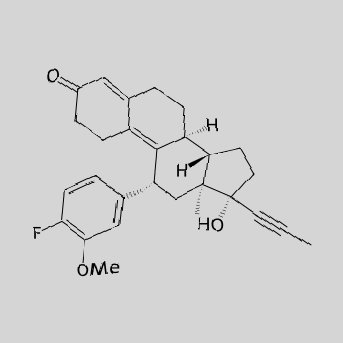 CC#C[C@]1(O)CC[C@H]2[C@@H]3CCC4=CC(=O)CCC4=C3[C@@H](c3ccc(F)c(OC)c3)C[C@@]21C